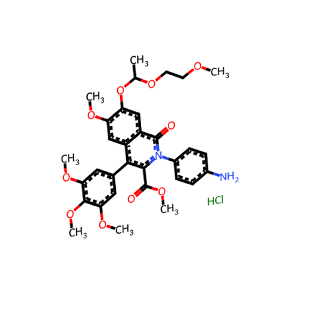 COCCOC(C)Oc1cc2c(=O)n(-c3ccc(N)cc3)c(C(=O)OC)c(-c3cc(OC)c(OC)c(OC)c3)c2cc1OC.Cl